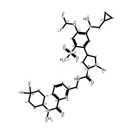 CC(=O)N1CC(c2cc(N(O)CC3CC3)c(OC(F)F)cc2S(C)(=O)=O)C[C@@H]1C(=O)NCc1cccc(C(=O)N(C)C2CCC(F)(F)CC2)n1